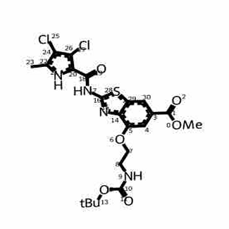 COC(=O)c1cc(OCCNC(=O)OC(C)(C)C)c2nc(NC(=O)c3[nH]c(C)c(Cl)c3Cl)sc2c1